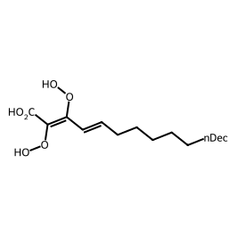 CCCCCCCCCCCCCCCC=CC(OO)=C(OO)C(=O)O